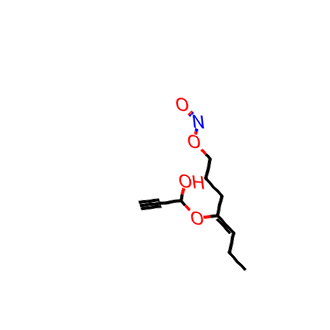 C#CC(O)O/C(=C\CC)CCCON=O